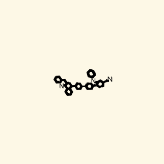 N#Cc1ccc2c3ccc(-c4ccc(-c5cc6cc7ccccc7nc6c6ccccc56)cc4)cc3n(-c3ccccc3)c2c1